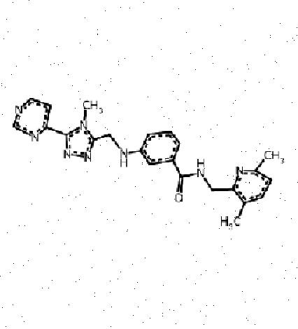 Cc1ccc(C)c(CNC(=O)c2cccc(NCc3nnc(-c4ccncn4)n3C)c2)n1